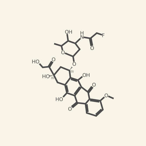 COc1cccc2c1C(=O)c1c(O)c3c(c(O)c1C2=O)C[C@@](O)(C(=O)CO)C[C@@H]3OC1CC(NC(=O)CF)C(O)C(C)O1